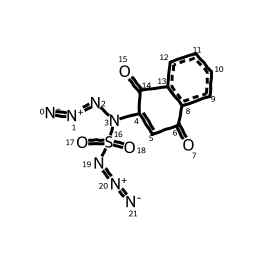 [N-]=[N+]=NN(C1=CC(=O)c2ccccc2C1=O)S(=O)(=O)N=[N+]=[N-]